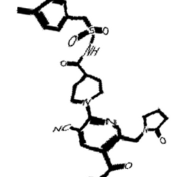 CCC(=O)c1cc(C#N)c(N2CCC(C(=O)NS(=O)(=O)Cc3ccc(C)cc3)CC2)nc1CN1CCCC1=O